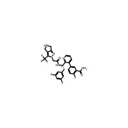 NC(=O)c1cc(-c2cccnc2[C@H](Cc2cc(F)cc(F)c2)NC(=O)Cn2nc3c(c2C(F)(F)F)CNC3)ccc1F